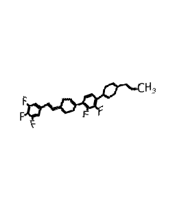 CCCC1CCC(c2ccc(C3=CCC(CCc4cc(F)c(F)c(F)c4)CC3)c(F)c2F)CC1